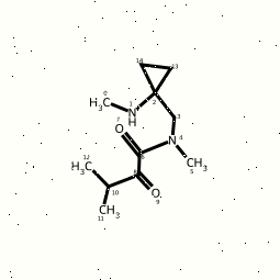 CNC1(CN(C)C(=O)C(=O)C(C)C)CC1